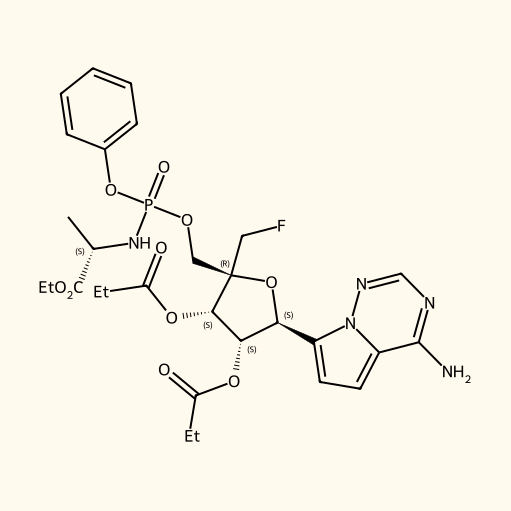 CCOC(=O)[C@H](C)NP(=O)(OC[C@@]1(CF)O[C@@H](c2ccc3c(N)ncnn23)[C@H](OC(=O)CC)[C@@H]1OC(=O)CC)Oc1ccccc1